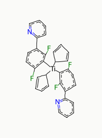 Fc1ccc(-c2ccccn2)c(F)[c]1[Ti]([c]1c(F)ccc(-c2ccccn2)c1F)([CH]1C=CC=C1)[CH]1C=CC=C1